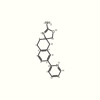 NC1=NC2(CCc3ccc(-c4ccccn4)cc3C2)CO1